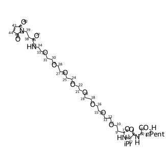 CCCCC[C@H](NC(=O)[C@@H](NC(=O)CCOCCOCCOCCOCCOCCOCCOCCOCCNC(=O)CCN1C(=O)C=CC1=O)C(C)C)C(=O)O